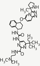 CN(C)CCNC(=O)c1nc(NC(=O)N[C@H]2CC[C@@H](Oc3ccc4nnc([C@]5(C)CCCN5)n4c3)c3ccccc32)cc(C(C)(C)C)n1